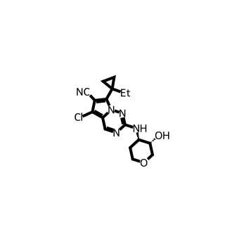 CCC1(c2c(C#N)c(Cl)c3cnc(N[C@@H]4CCOC[C@H]4O)nn23)CC1